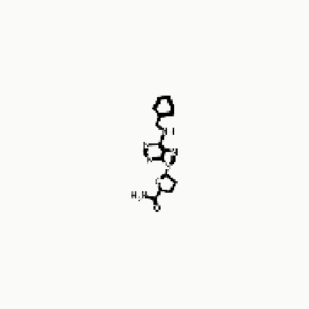 NC(=O)C1CCC(n2cnc3c(NCc4ccccc4)ncnc32)O1